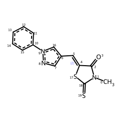 CN1C(=O)/C(=C/c2cnn(-c3ccccc3)c2)SC1=S